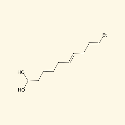 CCC=CCC=CCC=CCC(O)O